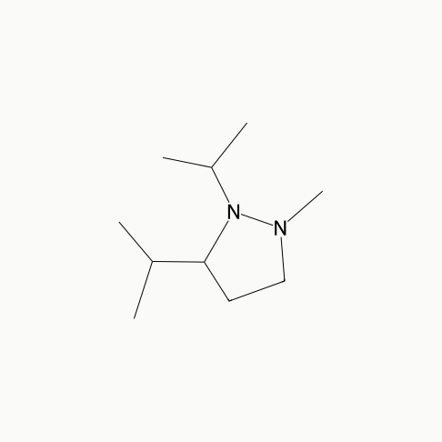 CC(C)C1CCN(C)N1C(C)C